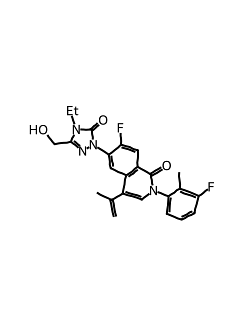 C=C(C)c1cn(-c2cccc(F)c2C)c(=O)c2cc(F)c(-n3nc(CO)n(CC)c3=O)cc12